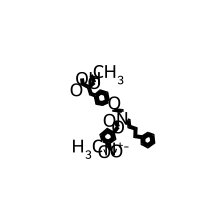 CCOC(Cc1ccc(OCCN(CCCCc2ccccc2)C(=O)Oc2ccc(C)c([N+](=O)[O-])c2)cc1)C(=O)O